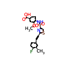 COc1cc(C(=O)O)ccc1NS(=O)(=O)c1csc(C#Cc2ccc(F)c(C)c2)n1